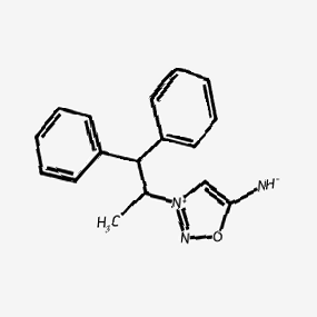 CC(C(c1ccccc1)c1ccccc1)[n+]1cc([NH-])on1